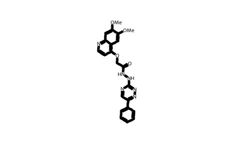 COc1cc2nccc(OCC(=O)NNc3ncc(-c4ccccc4)nn3)c2cc1OC